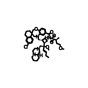 CC/C=C/[C@@](CN1CCN2CCCC[C@@H]2C1)(OC)[C@@H]1CC[C@H]1CN1C[C@@]2(CCCc3cc(Cl)ccc32)COc2ccc(C(=O)NS(=O)(=O)[C@@H](C)CCOC)cc21